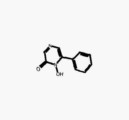 O=c1cncc(-c2ccccc2)n1O